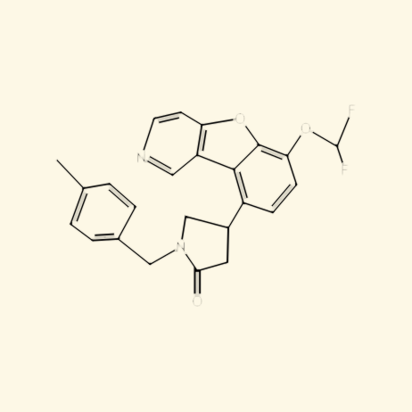 Cc1ccc(CN2CC(c3ccc(OC(F)F)c4oc5ccncc5c34)CC2=O)cc1